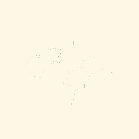 Cc1oc2ccccc2c1-c1nc(Cl)nc2c(Br)csc12